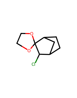 ClC1C2CCC(C2)C12OCCO2